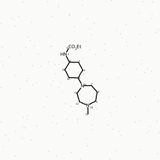 CCOC(=O)NC1CCC(N2CCCN(C)CC2)CC1